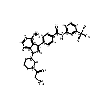 CCC(=O)N1CCC[C@@H](n2nc(-c3ccc(C(=O)Nc4cc(C(F)(F)F)ccn4)cc3)c3c(N)ncnc32)C1